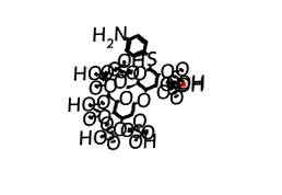 Nc1ccc(S[C@@H]2O[C@H](COS(=O)(=O)O)[C@@H](O[C@@H]3O[C@H](COS(=O)(=O)O)[C@@H](OS(=O)(=O)O)[C@H](OS(=O)(=O)O)[C@H]3OS(=O)(=O)O)[C@H](OS(=O)(=O)O)[C@H]2OS(=O)(=O)O)cc1